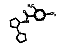 Cc1cc(C(F)(F)F)ccc1C(=O)N[C@@H]1CCC[C@@H]1N1CCCC1